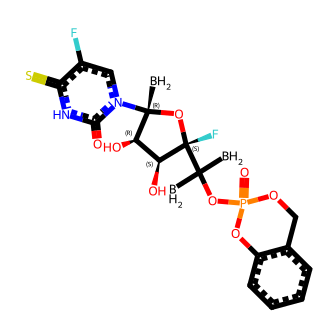 BC(B)(OP1(=O)OCc2ccccc2O1)[C@@]1(F)O[C@@](B)(n2cc(F)c(=S)[nH]c2=O)[C@H](O)[C@@H]1O